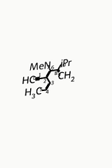 C#CC(/C=C\C)=C(\NC)C(=C)C(C)C